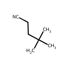 [CH2]C(C)(C)CCC#N